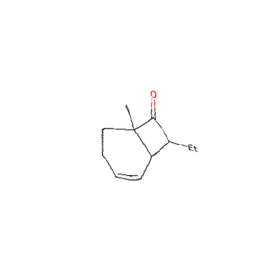 CCC1C(=O)C2(C)CCC=CC12